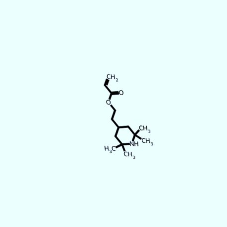 C=CC(=O)OCCC1CC(C)(C)NC(C)(C)C1